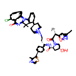 Cc1cc([C@H](C(=O)N2C[C@H](O)C[C@H]2C(=O)N[C@@H](CCN2CCC(c3cccc4c3C(C)(C)c3nc(=O)c5c(Cl)cccc5n3-4)CC2)c2ccc(-c3scnc3C)cc2)C(C)C)on1